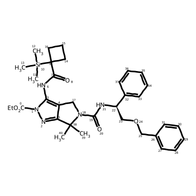 CCOC(=O)n1nc2c(c1NC(=O)C1([Si](C)(C)C)CCC1)CN(C(=O)N[C@H](COCc1ccccc1)c1ccccc1)C2(C)C